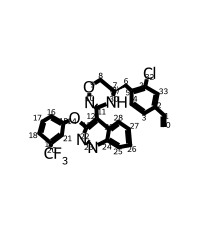 C=Cc1ccc(C[C@@H]2CON=C(c3c(Oc4cccc(C(F)(F)F)c4)nnc4ccccc34)N2)c(Cl)c1